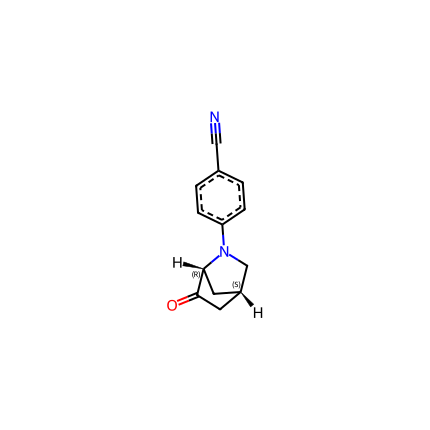 N#Cc1ccc(N2C[C@@H]3CC(=O)[C@H]2C3)cc1